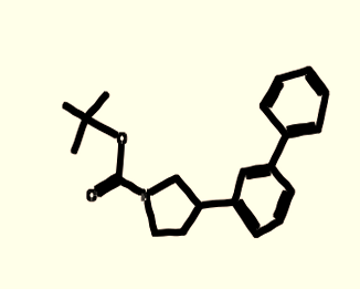 CC(C)(C)OC(=O)N1CCC(c2cccc(-c3ccccc3)c2)C1